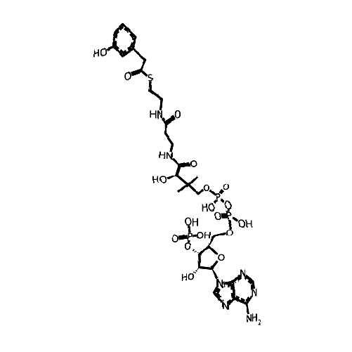 CC(C)(COP(=O)(O)OP(=O)(O)OC[C@H]1O[C@@H](n2cnc3c(N)ncnc32)[C@H](O)[C@@H]1OP(=O)(O)O)[C@@H](O)C(=O)NCCC(=O)NCCSC(=O)Cc1cccc(O)c1